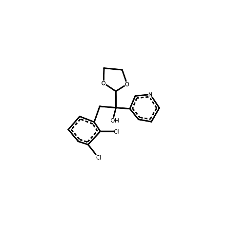 OC(Cc1cccc(Cl)c1Cl)(c1cccnc1)C1OCCO1